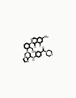 CC(C)(C)c1cc(F)c2c(=O)n(-c3cccc(N4C=C(Nc5ccc(C(=O)N6CCOCC6)cc5)C5=NC=C[N+]5C4)c3CO)ncc2c1